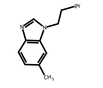 Cc1ccc2ncn(CCC(C)C)c2c1